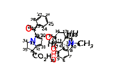 CN1CC[C@]23c4c5ccc(O)c4O[C@H]2C(=O)CC[C@H]3[C@H]1C5.O=C(c1ccccc1)c1ccc2n1CCC2C(=O)O